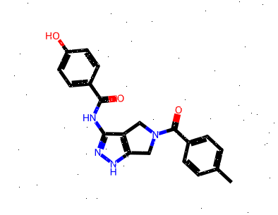 Cc1ccc(C(=O)N2Cc3[nH]nc(NC(=O)c4ccc(O)cc4)c3C2)cc1